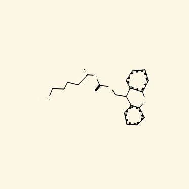 NCCCC[C@H](NC(=O)OCC1c2ccccc2Oc2ccccc21)C(=O)O